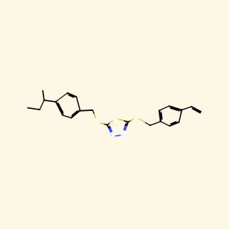 C=Cc1ccc(CSc2nnc(SCc3ccc(C(C)CC)cc3)s2)cc1